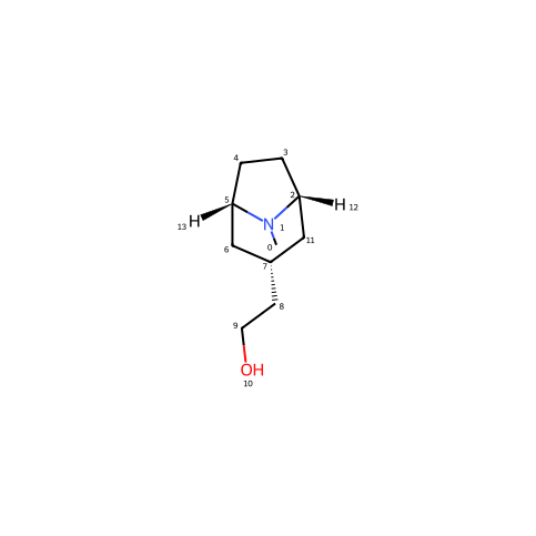 CN1[C@@H]2CC[C@H]1C[C@@H](CCO)C2